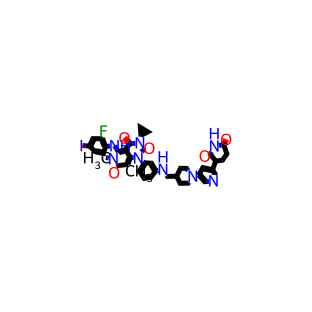 Cc1c(=O)n(C)c(Nc2ccc(I)cc2F)c2c(=O)n(C3CC3)c(=O)n(-c3cccc(NCC4CCN(c5cncc(C6CCC(=O)NC6=O)c5)CC4)c3)c12